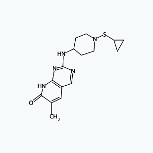 Cc1cc2cnc(NC3CCN(SC4CC4)CC3)nc2[nH]c1=O